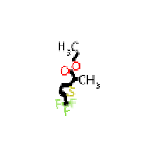 CCCOC(=O)C(C)c1ccc(C(F)(F)F)s1